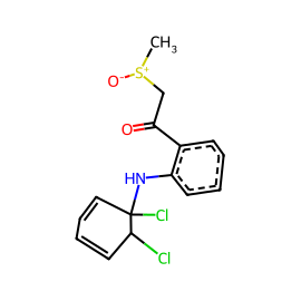 C[S+]([O-])CC(=O)c1ccccc1NC1(Cl)C=CC=CC1Cl